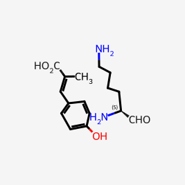 CC(=Cc1ccc(O)cc1)C(=O)O.NCCCC[C@H](N)C=O